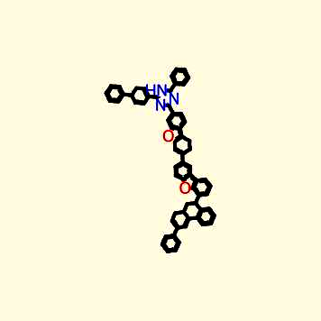 C1=CC(c2ccccc2)CC=C1C1=NC(c2ccc3c4c(oc3c2)C=C(c2ccc3oc5c(C6CC7CC=C(c8ccccc8)C=C7c7ccccc76)cccc5c3c2)CC4)=NC(c2ccccc2)N1